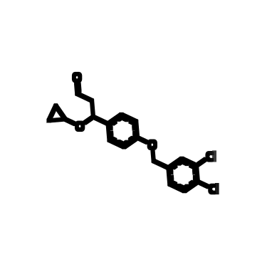 O=CCC(OC1CC1)c1ccc(OCc2ccc(Cl)c(Cl)c2)cc1